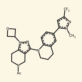 CC(=O)N1CCc2c(c(N3CCCc4cc(-c5cc(C(F)(F)F)nn5C)ccc43)nn2C2COC2)C1